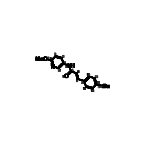 COc1ccc(NC(=O)/C=C/c2ccc(C(C)(C)C)cc2)cn1